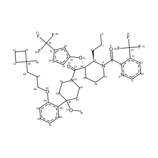 CCC[C@H]1N(C(=O)c2ncccc2C(F)(F)F)CCC[C@@]1(Oc1csc(C(F)(F)F)c1)C(=O)N1CCC(OC)(c2ccccc2OCCCC2(C)CCC2)CC1